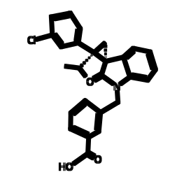 CC(C)[C@]1(c2cccc(Cl)c2)C[C@]12C(=O)N(Cc1cccc(C(=O)O)c1)c1ccccc12